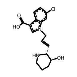 O=C(O)c1cn(C/C=C/[C@H]2NCCC[C@@H]2O)c2cc(Cl)ccc12